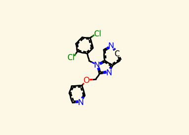 Clc1ccc(Cl)c(Cn2c(COc3cccnc3)nc3ccncc32)c1